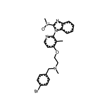 Cc1c(OCCN(C)Cc2ccc(Br)cc2)ccnc1-n1c([S+](C)[O-])nc2ccccc21